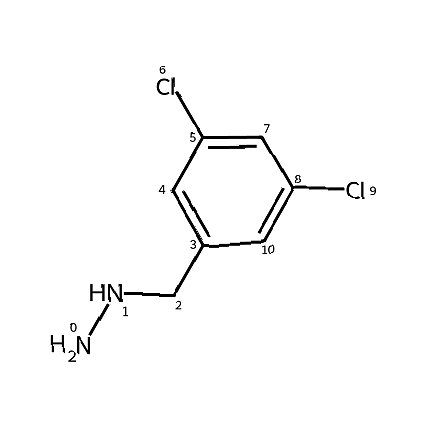 NNCc1cc(Cl)cc(Cl)c1